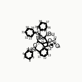 CC(C)(C)C(O[SiH](c1ccccc1)c1ccccc1)C1CCC1(OS(C)(=O)=O)C(O[SiH](c1ccccc1)c1ccccc1)C(C)(C)C